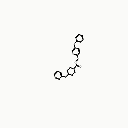 O=C(NCc1ccc(Oc2ccccc2)cn1)N1CCC(Cc2ccccn2)CC1